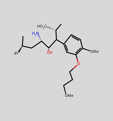 COCCCOc1cc(C([C@@H](C)C(=O)O)[C@H](O)[C@@H](N)C[C@H](C)C(C)C)ccc1OC